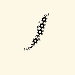 CCOCc1ccc(OCc2ccc(-c3ccc(-c4ccc(O)cc4)c(F)c3F)cc2)c(F)c1